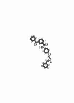 CN(CCOc1ccc(NC(=O)c2cccc(C(=O)c3ccccc3)c2)cc1)Cc1ccccc1